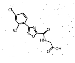 O=C(O)CNC(=O)c1nc(-c2ccc(Cl)cc2Cl)no1